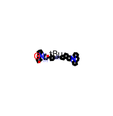 C=C(/C=C\C(=C/C)N1c2ccccc2Oc2ccccc21)c1ccc(/C=C/c2ccc3c(ccc4cc(N5c6ccccc6C=Cc6ccccc65)ccc43)c2)cc1C(C)(C)C